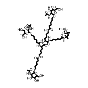 CC(=O)NC1C(OCCCCCC(=O)NCCCCC(NC(=O)CCCCCOC(OC(CO)[C@@H](C)O)[C@H](CO)NC(C)=O)C(=O)NC(CCCCNC(=O)CCCCCOC2OC(CO)C(O)C(O)C2NC(C)=O)C(=O)NCCCCCC(=O)NC(C)(C)CC(C)(C)OP(C)(=O)O)OC(CO)C(O)C1O